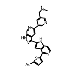 CC(=O)c1ccc(-c2nccc3[nH]c(-c4n[nH]c5cnc(-c6cncc(CN(C)C)c6)cc45)cc23)s1